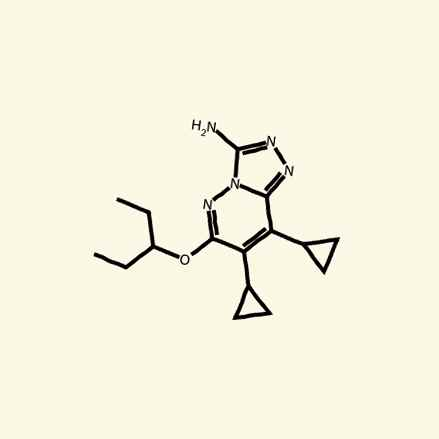 CCC(CC)Oc1nn2c(N)nnc2c(C2CC2)c1C1CC1